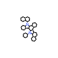 c1ccc(-n2c3c4ccccc4ccc3c3c4ccccc4c4c(c5ccccc5n4-c4cccc5ccccc45)c32)cc1